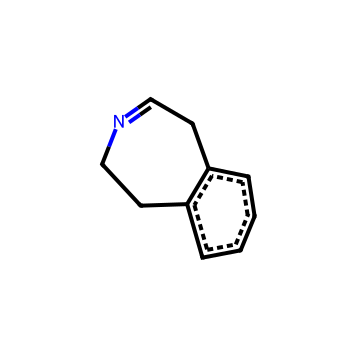 C1=NCCc2ccccc2C1